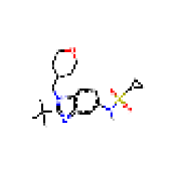 CN(c1ccc2c(c1)nc(C(C)(C)C)n2CC1CCOCC1)S(=O)(=O)C1CC1